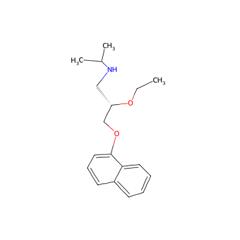 CCO[C@@H](CNC(C)C)COc1cccc2ccccc12